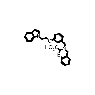 CCC(C(=O)O)N(Cc1ccccc1)Cc1cccc(OCCn2ccc3ccccc32)c1